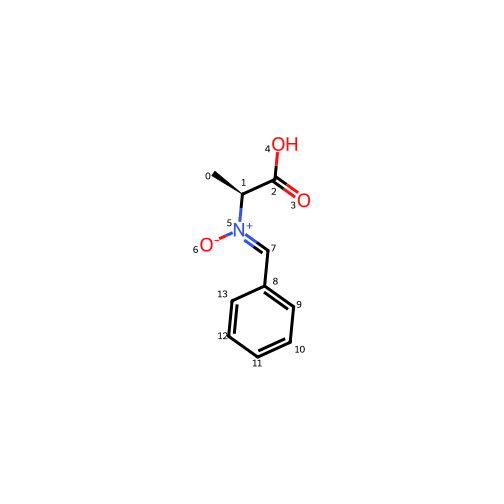 C[C@@H](C(=O)O)/[N+]([O-])=C/c1ccccc1